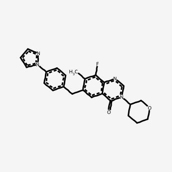 Cc1c(Cc2ccc(-n3cccn3)cc2)cc2c(=O)n(C3CCCOC3)cnc2c1F